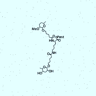 CCCCCC(=O)[C@@H](CCCCNC(=O)CCCCOC1OC(C)C(O)CC1O)NC(=O)CCCCOC1OC(C)CCC1OC